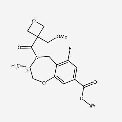 COCC1(C(=O)N2Cc3c(F)cc(C(=O)OC(C)C)cc3OC[C@@H]2C)COC1